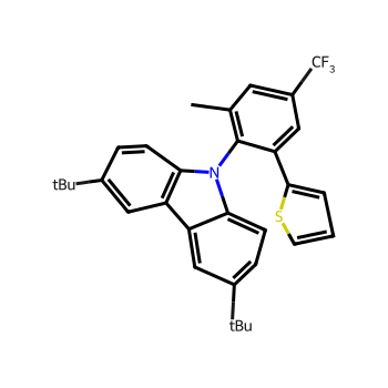 Cc1cc(C(F)(F)F)cc(-c2cccs2)c1-n1c2ccc(C(C)(C)C)cc2c2cc(C(C)(C)C)ccc21